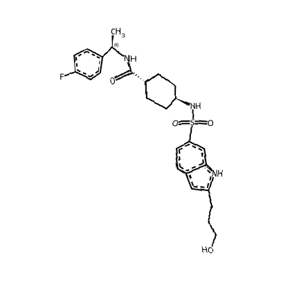 C[C@@H](NC(=O)[C@H]1CC[C@H](NS(=O)(=O)c2ccc3cc(CCCO)[nH]c3c2)CC1)c1ccc(F)cc1